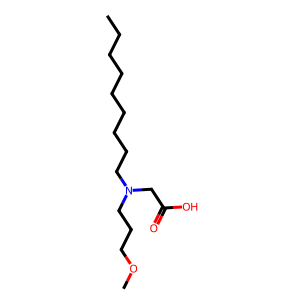 CCCCCCCCCN(CCCOC)CC(=O)O